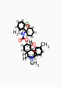 Cc1ccc2c3c1O[C@H]1[C@@H](OC(=O)N(C)C4(c5ccccc5Cl)CCCCC4=O)C=C[C@H]4[C@@H](C2)N(C)CC[C@@]341